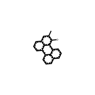 Cc1cc2cccc3c4cccc5cccc(c(c1[O])c23)c54